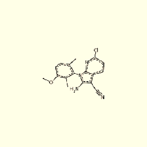 COc1ccc(C)c(-n2c(N)c(C#N)c3ccc(Cl)nc32)c1C